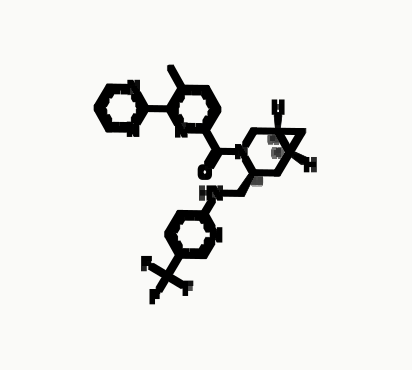 Cc1ccc(C(=O)N2C[C@@H]3C[C@@H]3C[C@H]2CNc2ccc(C(F)(F)F)cn2)nc1-c1ncccn1